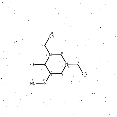 N#CCN1CC(NC#N)C(F)N(CC#N)C1